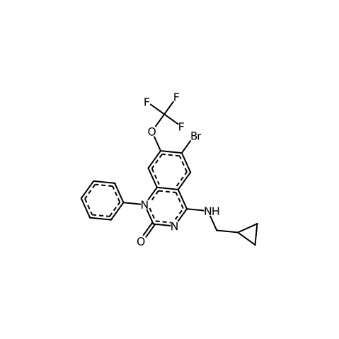 O=c1nc(NCC2CC2)c2cc(Br)c(OC(F)(F)F)cc2n1-c1ccccc1